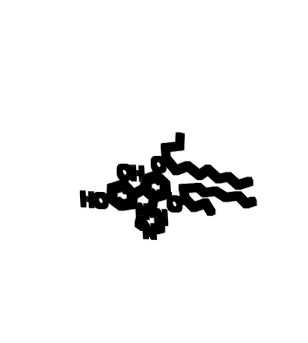 CCCCCCCCC(CCC)Oc1cc(OC(CCC)CCCCCCCC)c(-c2ncncn2)c(-c2ccc(O)cc2O)c1